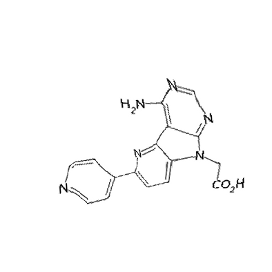 Nc1ncnc2c1c1nc(-c3ccncc3)ccc1n2CC(=O)O